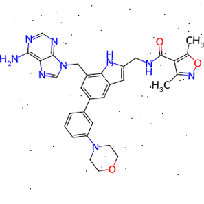 Cc1noc(C)c1C(=O)NCc1cc2cc(-c3cccc(N4CCOCC4)c3)cc(Cn3cnc4c(N)ncnc43)c2[nH]1